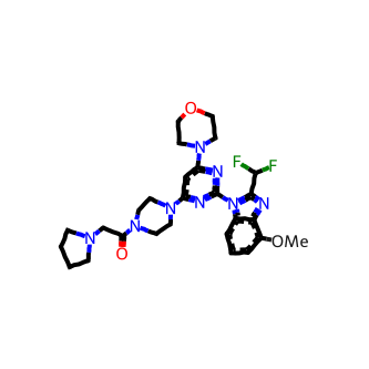 COc1cccc2c1nc(C(F)F)n2-c1nc(N2CCOCC2)cc(N2CCN(C(=O)CN3CCCC3)CC2)n1